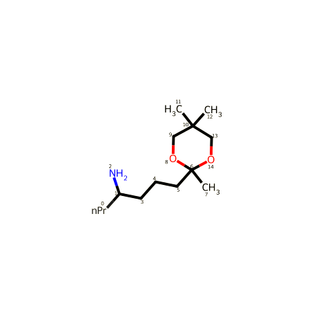 CCCC(N)CCCC1(C)OCC(C)(C)CO1